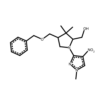 Cn1cc([N+](=O)[O-])c(N2CC(COCc3ccccc3)C(C)(C)C2CO)n1